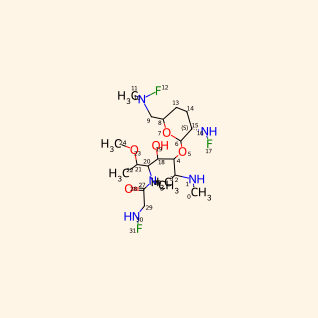 CNC(C)C(OC1OC(CN(C)F)CC[C@@H]1NF)C(O)C(C(C)OC)N(C)C(=O)CNF